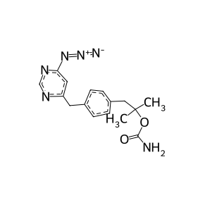 CC(C)(Cc1ccc(Cc2cc(N=[N+]=[N-])ncn2)cc1)OC(N)=O